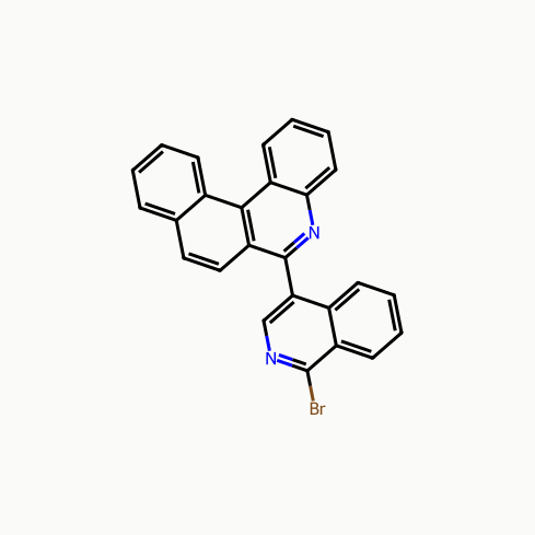 Brc1ncc(-c2nc3ccccc3c3c2ccc2ccccc23)c2ccccc12